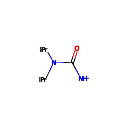 CC(C)N(C([NH])=O)C(C)C